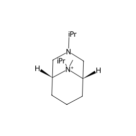 CC(C)N1C[C@H]2CCC[C@@H](C1)[N+]2(C)C(C)C